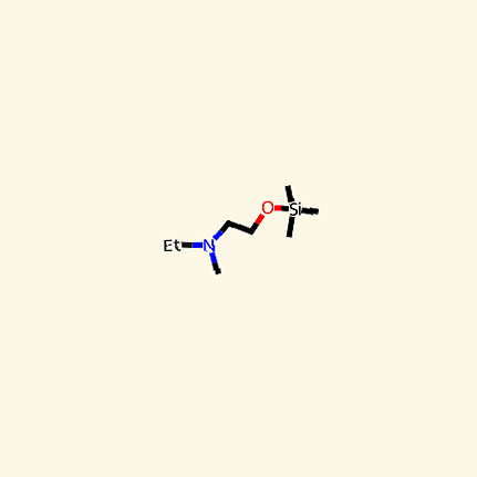 CCN(C)CCO[Si](C)(C)C